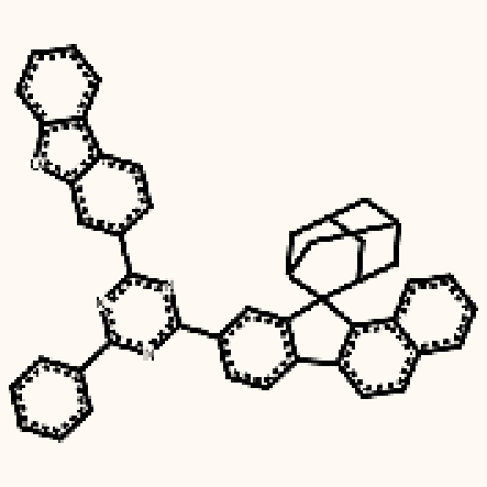 c1ccc(-c2nc(-c3ccc4c(c3)C3(c5c-4ccc4ccccc54)C4CC5CC(C4)CC3C5)nc(-c3ccc4c(c3)oc3ccccc34)n2)cc1